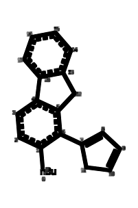 CCCCc1ccc2c(c1C1=CC=CC1)[CH]c1ccccc1-2